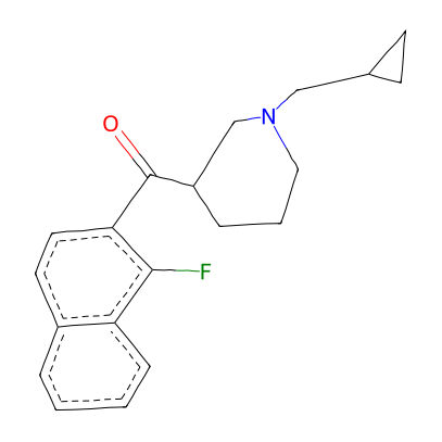 O=C(c1ccc2ccccc2c1F)C1CCCN(CC2CC2)C1